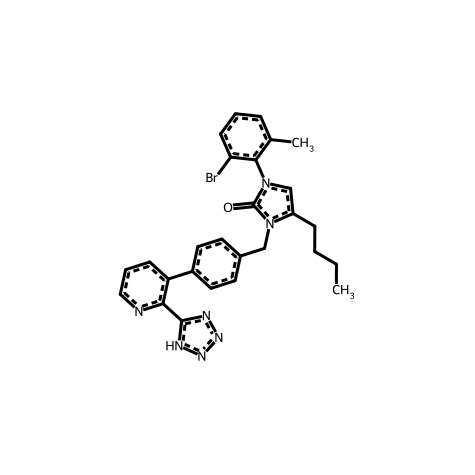 CCCCc1cn(-c2c(C)cccc2Br)c(=O)n1Cc1ccc(-c2cccnc2-c2nnn[nH]2)cc1